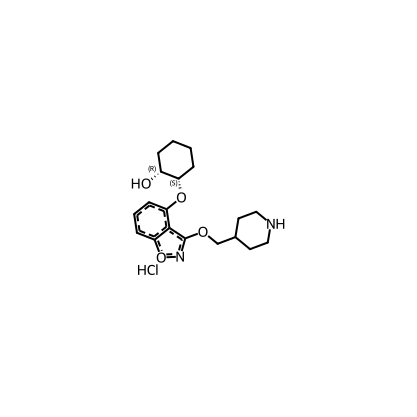 Cl.O[C@@H]1CCCC[C@@H]1Oc1cccc2onc(OCC3CCNCC3)c12